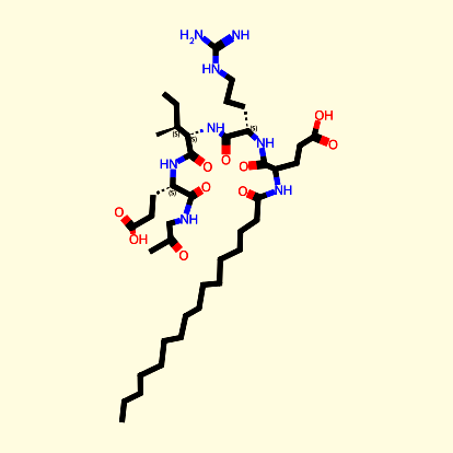 CCCCCCCCCCCCCCCC(=O)NC(CCC(=O)O)C(=O)N[C@@H](CCCNC(=N)N)C(=O)N[C@H](C(=O)N[C@@H](CCC(=O)O)C(=O)NCC(C)=O)[C@@H](C)CC